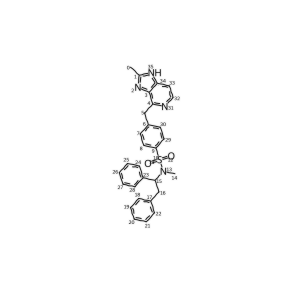 Cc1nc2c(Cc3ccc(S(=O)(=O)N(C)C(Cc4ccccc4)c4ccccc4)cc3)nccc2[nH]1